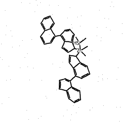 C[SiH](C)[Zr]([CH3])([CH3])([CH]1C=Cc2c(-c3cccc4ccccc34)cccc21)[CH]1C=Cc2c(-c3cccc4ccccc34)cccc21